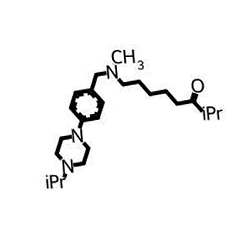 CC(C)C(=O)CCCCCN(C)Cc1ccc(N2CCN(C(C)C)CC2)cc1